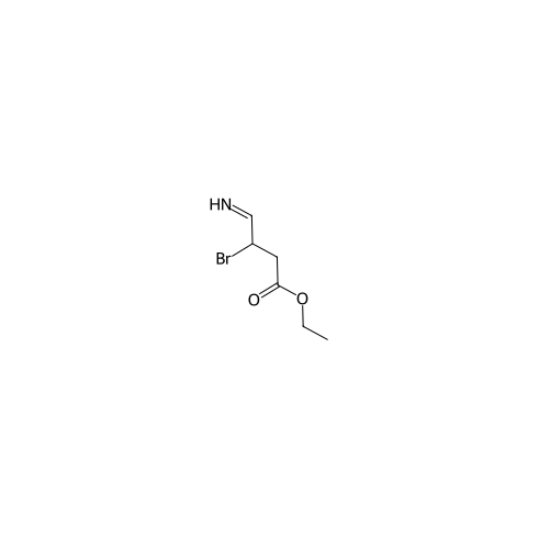 CCOC(=O)CC(Br)C=N